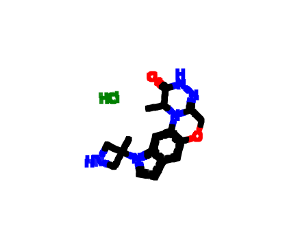 CC1C(=O)NN=C2COc3cc4ccn(C5(C)CNC5)c4cc3N21.Cl